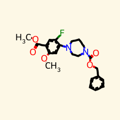 COC(=O)c1cc(F)c(N2CCCN(C(=O)OCc3ccccc3)CC2)cc1OC